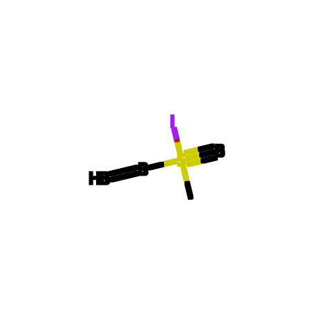 B#S(C)(I)B=B